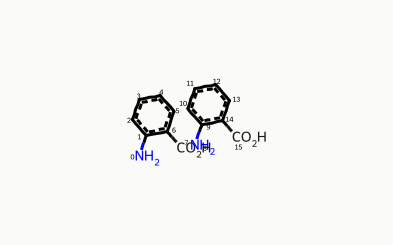 Nc1ccccc1C(=O)O.Nc1ccccc1C(=O)O